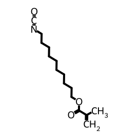 C=C(C)C(=O)OCCCCCCCCCCN=C=O